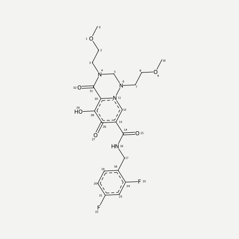 COCCN1CN(CCOC)n2cc(C(=O)NCc3ccc(F)cc3F)c(=O)c(O)c2C1=O